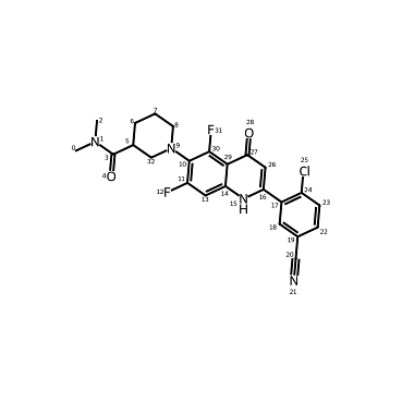 CN(C)C(=O)C1CCCN(c2c(F)cc3[nH]c(-c4cc(C#N)ccc4Cl)cc(=O)c3c2F)C1